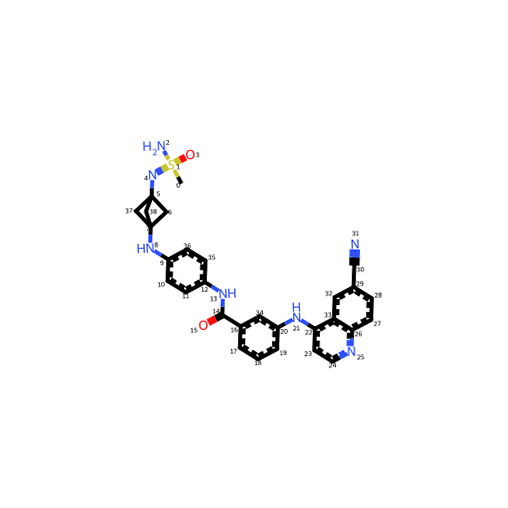 CS(N)(=O)=NC12CC(Nc3ccc(NC(=O)c4cccc(Nc5ccnc6ccc(C#N)cc56)c4)cc3)(C1)C2